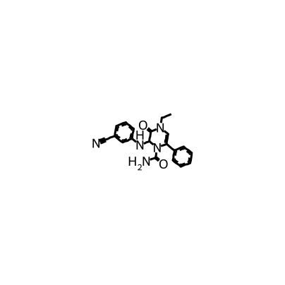 CCN1C=C(c2ccccc2)N(C(N)=O)C(Nc2cccc(C#N)c2)C1=O